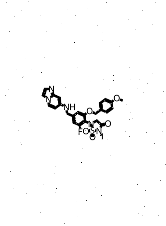 COc1ccc(COc2cc(CNc3ccn4ccnc4c3)cc(F)c2N2CC(=O)N(I)S2(=O)=O)cc1